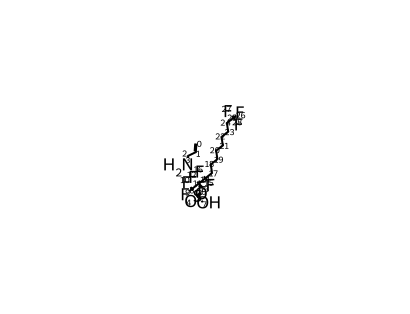 C=CCN.O=S(=O)(O)C(F)(F)C(F)(F)C(F)(F)CCCCCCCCC(F)(F)F